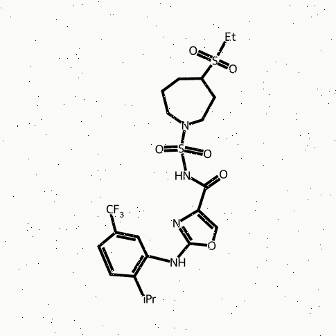 CCS(=O)(=O)C1CCCN(S(=O)(=O)NC(=O)c2coc(Nc3cc(C(F)(F)F)ccc3C(C)C)n2)CC1